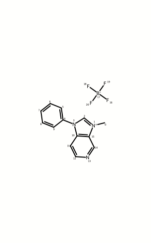 C[n+]1cn(-c2ccccc2)c2ccncc21.F[B-](F)(F)F